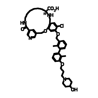 Cc1c(COc2cc3c(cc2Cl)CN[C@H](C(=O)O)CCCCCCNC(=O)c2cncc(c2)CO3)cccc1-c1cccc(OCCCN2CCC(O)CC2)c1C